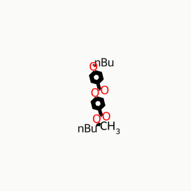 CCCCOc1ccc(C(=O)Oc2ccc(C(=O)O[C@@H](C)CCCC)cc2)cc1